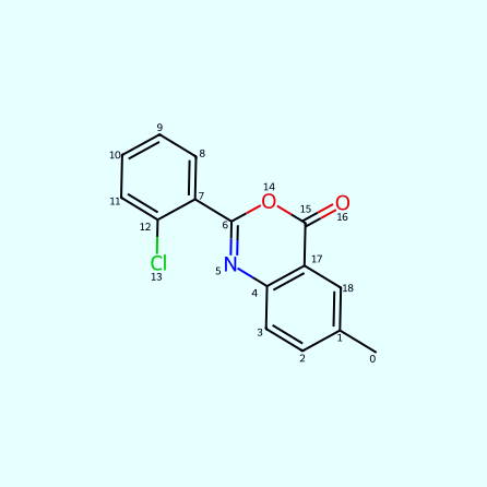 Cc1ccc2nc(-c3ccccc3Cl)oc(=O)c2c1